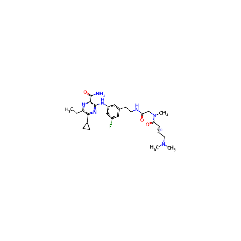 CCc1nc(C(N)=O)c(Nc2cc(F)cc(CCNC(=O)CN(C)C(=O)/C=C/CN(C)C)c2)nc1C1CC1